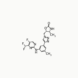 Cc1cc(Nc2ncc(F)c(C(F)F)n2)cc(-c2cn(C[C@H]3OC(=O)N[C@H]3C)nn2)c1